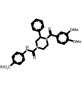 CCOC(=O)c1ccc(NC(=O)N2CCN(C(=O)c3ccc(OC)c(OC)c3)C(c3ccccc3)C2)cc1